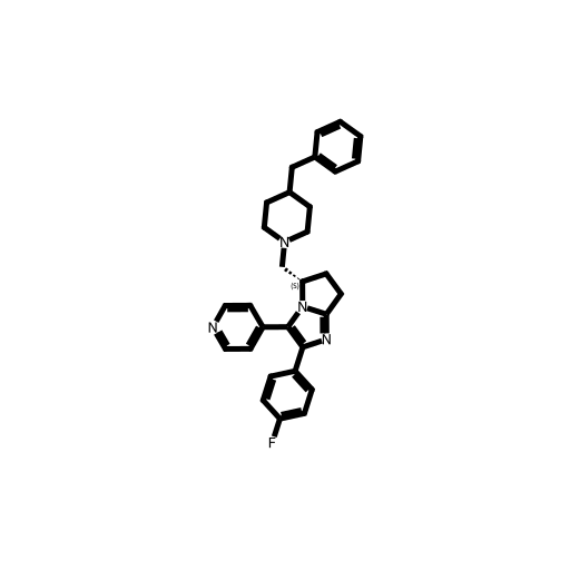 Fc1ccc(-c2nc3n(c2-c2ccncc2)[C@H](CN2CCC(Cc4ccccc4)CC2)CC3)cc1